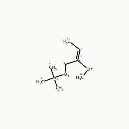 C/C=C(\CO[Si](C)(C)C)OC